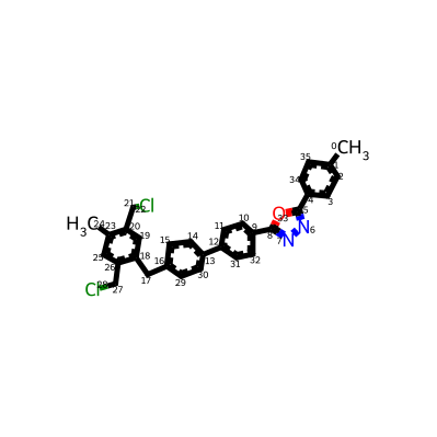 Cc1ccc(-c2nnc(-c3ccc(-c4ccc(Cc5cc(CCl)c(C)cc5CCl)cc4)cc3)o2)cc1